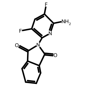 Nc1nc(N2C(=O)c3ccccc3C2=O)c(F)cc1F